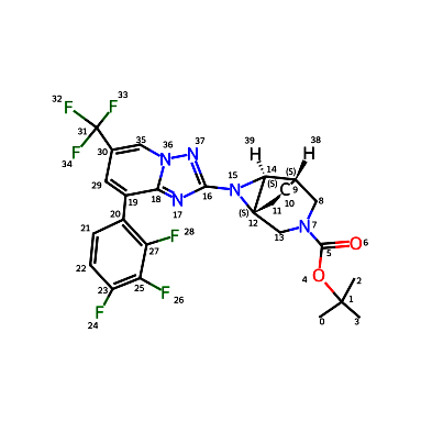 CC(C)(C)OC(=O)N1C[C@@H]2CC[C@]3(C1)[C@H]2N3c1nc2c(-c3ccc(F)c(F)c3F)cc(C(F)(F)F)cn2n1